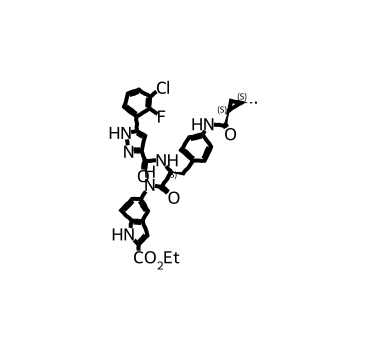 CCOC(=O)c1cc2cc(NC(=O)[C@H](Cc3ccc(NC(=O)[C@H]4C[C@@H]4C)cc3)NC(=O)c3cc(-c4cccc(Cl)c4F)[nH]n3)ccc2[nH]1